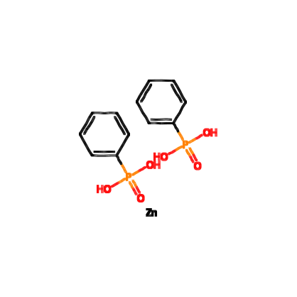 O=P(O)(O)c1ccccc1.O=P(O)(O)c1ccccc1.[Zn]